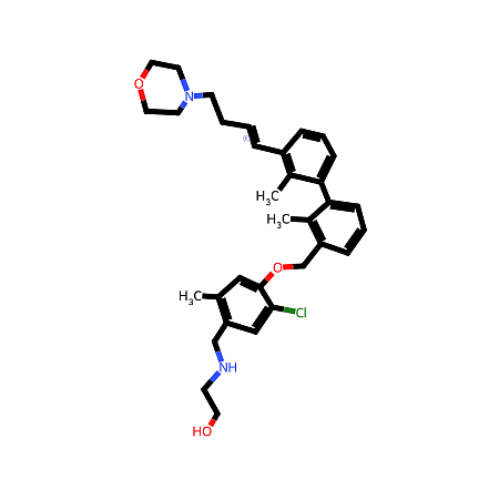 Cc1cc(OCc2cccc(-c3cccc(/C=C/CCN4CCOCC4)c3C)c2C)c(Cl)cc1CNCCO